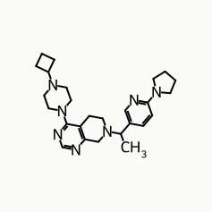 CC(c1ccc(N2CCCC2)nc1)N1CCc2c(ncnc2N2CCN(C3CCC3)CC2)C1